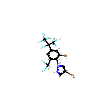 FC(F)(F)c1cc(C(F)(C(F)(F)F)C(F)(F)F)cc(Br)c1-n1cc(Br)cn1